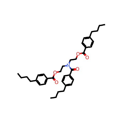 CCCCc1ccc(C(=O)OCCN(CCOC(=O)c2ccc(CCCC)cc2)C(=O)c2ccc(CCCC)cc2)cc1